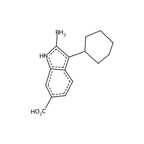 Bc1[nH]c2cc(C(=O)O)ccc2c1C1CCCCC1